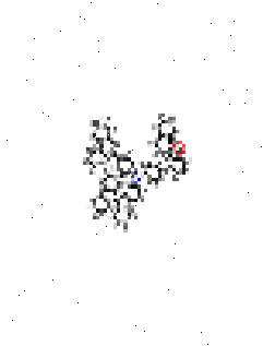 c1ccc(C2(c3ccccc3)c3ccccc3-c3ccc(N(c4ccc(-c5cc6ccccc6c6ccccc56)cc4)c4ccc(-c5cccc6oc7c8ccccc8ccc7c56)cc4)cc32)cc1